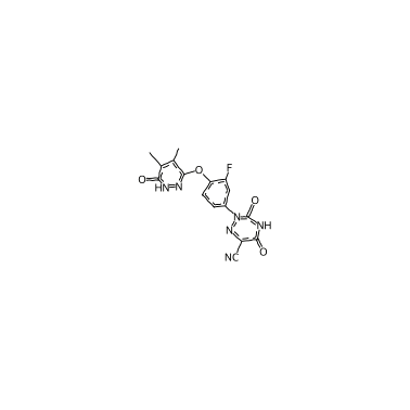 Cc1c(Oc2ccc(-n3nc(C#N)c(=O)[nH]c3=O)cc2F)n[nH]c(=O)c1C